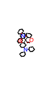 c1ccc(N(c2ccccc2)c2ccc3c(c2)C2(c4ccccc4O3)c3ccccc3Oc3cccc(N(c4ccccc4)c4ccccc4)c32)cc1